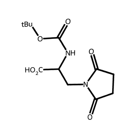 CC(C)(C)OC(=O)NC(CN1C(=O)CCC1=O)C(=O)O